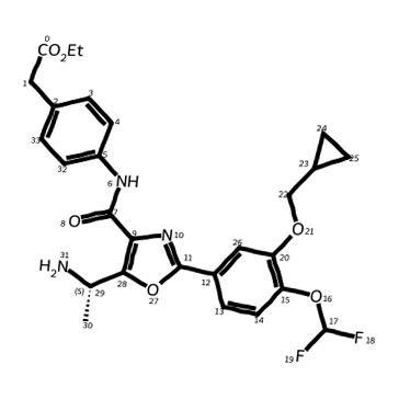 CCOC(=O)Cc1ccc(NC(=O)c2nc(-c3ccc(OC(F)F)c(OCC4CC4)c3)oc2[C@H](C)N)cc1